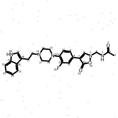 CC(=O)NCn1cc(-c2ccc(N3CCN(CCc4c[nH]c5ccccc45)CC3)c(F)c2)c(=O)o1